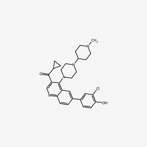 CN1CCC(N2CCN(c3c(C(=O)C4CC4)cnc4ccc(-c5ccc(O)c(Cl)c5)cc34)CC2)CC1